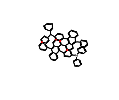 c1ccc(-c2c3ccccc3c(-c3ccc(C(c4ccccc4)c4ccccc4)cc3)c3c(-c4cccc5c(-c6ccccc6)c6ccccc6c(-c6ccc(N(c7ccccc7)c7ccccc7)cc6)c45)cccc23)cc1